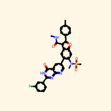 CNC(=O)c1c(-c2ccc(C)cc2)oc2cc(N(C)S(C)(=O)=O)c(-c3cnc4nc(-c5cccc(F)c5)[nH]c(=O)c4c3)cc12